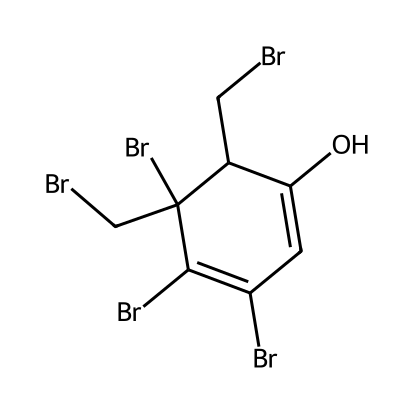 OC1=CC(Br)=C(Br)C(Br)(CBr)C1CBr